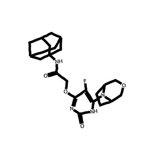 O=C(COc1nc(=O)[nH]c(N2C3CCC2COC3)c1F)NC12CC3CC(CC(C3)C1)C2